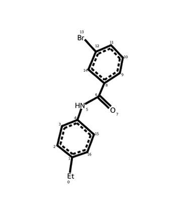 CCc1ccc(NC(=O)c2cccc(Br)c2)cc1